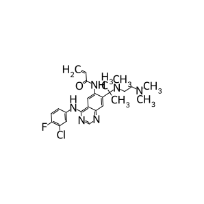 C=CC(=O)Nc1cc2c(Nc3ccc(F)c(Cl)c3)ncnc2cc1C(C)(C)N(C)CCN(C)C